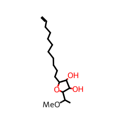 C=CCCCCCCCCCC1OC(C(C)OC)C(O)C1O